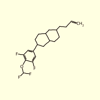 C=CCCC1CCC2CC(c3cc(F)c(OC(F)F)c(F)c3)CCC2C1